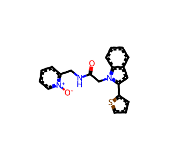 O=C(Cn1c(-c2cccs2)cc2ccccc21)NCc1cccc[n+]1[O-]